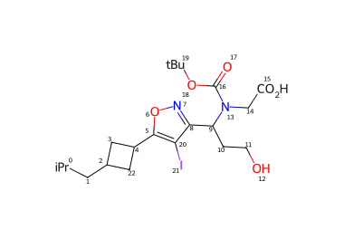 CC(C)CC1CC(c2onc(C(CCO)N(CC(=O)O)C(=O)OC(C)(C)C)c2I)C1